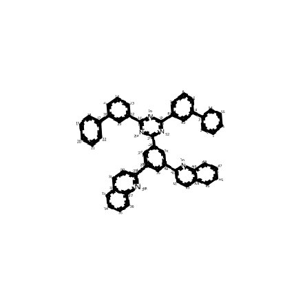 c1ccc(-c2cccc(-c3nc(-c4cccc(-c5ccccc5)c4)nc(-c4cc(-c5ccc6ccccc6n5)cc(-c5ccc6ccccc6n5)c4)n3)c2)cc1